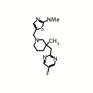 CNc1ncc(CN2CCCC(C)(Cc3ncc(F)cn3)C2)s1